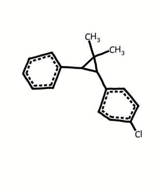 CC1(C)C(c2ccccc2)C1c1ccc(Cl)cc1